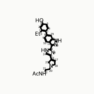 CCc1cc(O)ccc1-c1ccc2c(-c3nc(C4=CCN(CCNC(C)=O)C4)c[nH]3)n[nH]c2c1